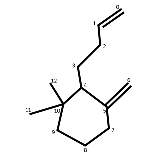 C=CCCC1C(=C)CCCC1(C)C